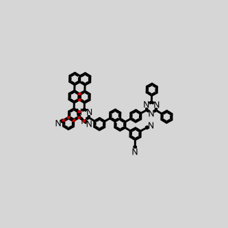 N#Cc1cc(C#N)cc(-c2ccc(-c3cccc4cccc(-c5ccc(-c6nc(-c7ccccc7)nc(-c7cccc(-c8cccc9c(-c%10ccc(-c%11nc(-c%12ccccc%12)nc(-c%12ccccc%12)n%11)cc%10)c(-c%10cc(C#N)cc(C#N)c%10)ccc89)c7)n6)cc5)c34)cc2)c1